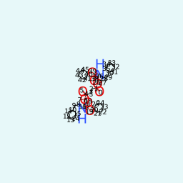 O=C(/C=C/C(=O)OC[C@@H](Cc1ccccc1)NC(=O)OC1CCCCC1)OC[C@@H](Cc1ccccc1)NC(=O)OC1CCCCC1